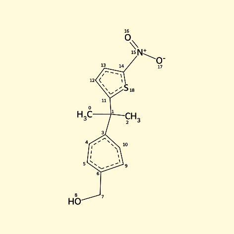 CC(C)(c1ccc(CO)cc1)c1ccc([N+](=O)[O-])s1